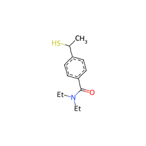 CCN(CC)C(=O)c1ccc(C(C)S)cc1